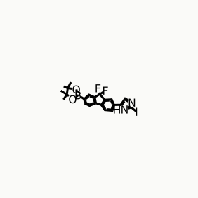 CC1(C)OB(c2ccc3c(c2)C(F)(F)c2cc(-c4cnc(I)[nH]4)ccc2-3)OC1(C)C